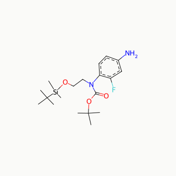 CC(C)(C)OC(=O)N(CCO[Si](C)(C)C(C)(C)C)c1ccc(N)cc1F